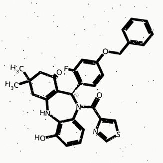 CC1(C)CC(=O)C2=C(C1)Nc1c(O)cccc1N(C(=O)c1cscn1)[C@@H]2c1ccc(OCc2ccccc2)cc1F